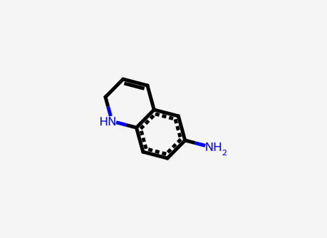 Nc1ccc2c(c1)C=CCN2